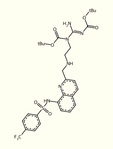 CC(C)(C)OC(=O)N=C(N)N(CCNCc1ccc2cccc(NS(=O)(=O)c3ccc(C(F)(F)F)cc3)c2n1)C(=O)OC(C)(C)C